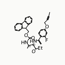 C=C(N[C@H](C(=O)CC)[C@@H](C)NC(=O)OCC1c2ccccc2-c2ccccc21)c1ccc(OCC#CC)cc1F